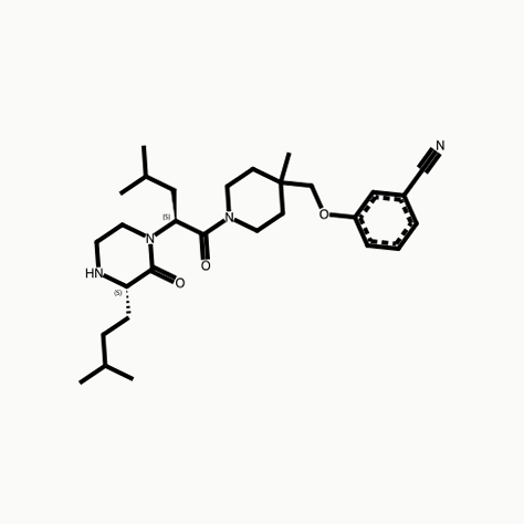 CC(C)CC[C@@H]1NCCN([C@@H](CC(C)C)C(=O)N2CCC(C)(COc3cccc(C#N)c3)CC2)C1=O